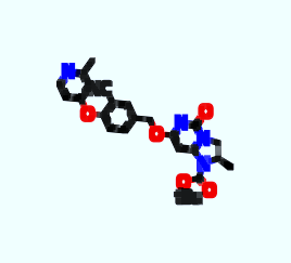 Cc1cc(Oc2ccc(COc3cc4n(c(=O)n3)C[C@@H](C)N4C(=O)OC(C)(C)C)cc2C#N)ccn1